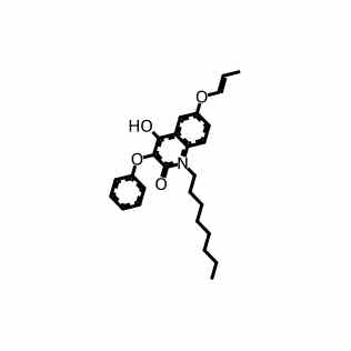 CC=COc1ccc2c(c1)c(O)c(Oc1ccccc1)c(=O)n2CCCCCCCC